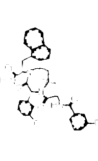 C[C@@H]1CCN([C@H](Cc2cccc3ccccc23)C(N)=O)C(=O)[C@H](c2cccc(Cl)c2)N1C(=O)CNC(=O)c1cccc(F)c1